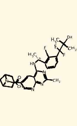 CC(=O)N1C2CC(c3cnc4nc(C)nc(N[C@H](C)c5cccc(C(F)(F)C(C)(C)O)c5F)c4c3)CC1C2